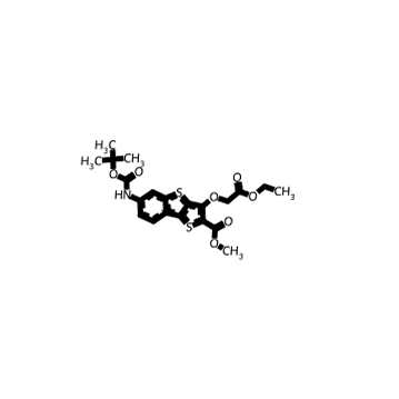 CCOC(=O)COc1c(C(=O)OC)sc2c1sc1cc(NC(=O)OC(C)(C)C)ccc12